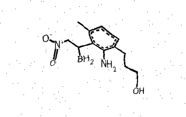 BC(C[N+](=O)[O-])c1c(C)ccc(CCCO)c1N